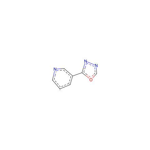 [c]1cncc(-c2nnco2)c1